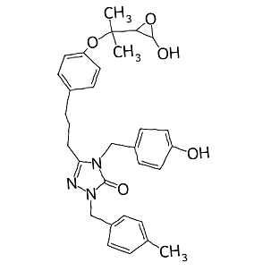 Cc1ccc(Cn2nc(CCCc3ccc(OC(C)(C)C4OC4O)cc3)n(Cc3ccc(O)cc3)c2=O)cc1